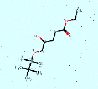 CCOC(=O)CCC(O)CO[Si](C)(C)C(C)(C)C